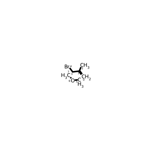 C=C(C)CBr.COC